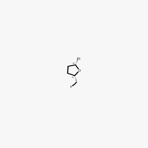 CC[C@H]1CC[C@@H](CF)O1